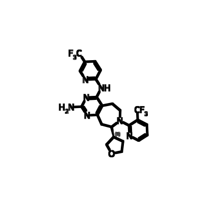 Nc1nc2c(c(Nc3ccc(C(F)(F)F)cn3)n1)CCN(c1ncccc1C(F)(F)F)C([C@H]1CCOC1)C2